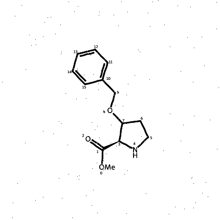 COC(=O)[C@@H]1NCCC1OCc1ccccc1